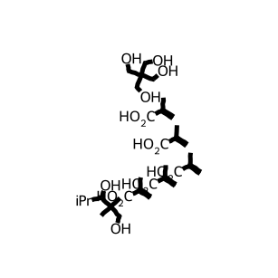 C=C(C)C(=O)O.C=C(C)C(=O)O.C=C(C)C(=O)O.C=C(C)C(=O)O.C=C(C)C(=O)O.CC(C)C(O)C(C)(C)CO.OCC(CO)(CO)CO